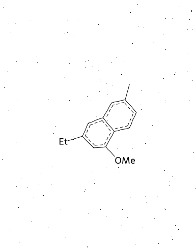 CCc1cc(OC)c2ccc(C)cc2c1